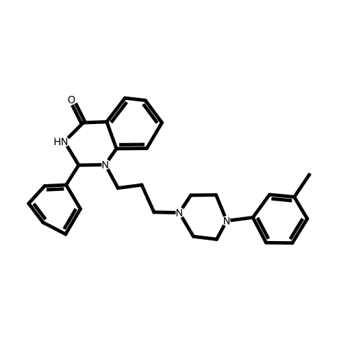 Cc1cccc(N2CCN(CCCN3c4ccccc4C(=O)NC3c3ccccc3)CC2)c1